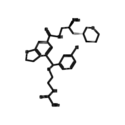 CN[C@H](CNC(=O)c1cc2c(c(C(OCCNC(=O)OC)c3cccc(Cl)c3)c1)CCO2)C[C@H]1CCCOC1